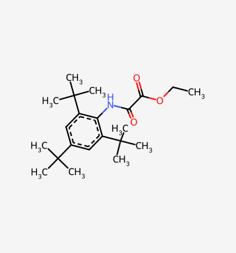 CCOC(=O)C(=O)Nc1c(C(C)(C)C)cc(C(C)(C)C)cc1C(C)(C)C